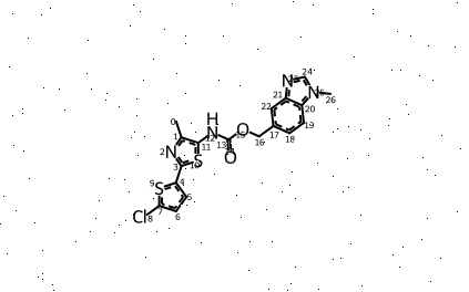 Cc1nc(-c2ccc(Cl)s2)sc1NC(=O)OCc1ccc2c(c1)ncn2C